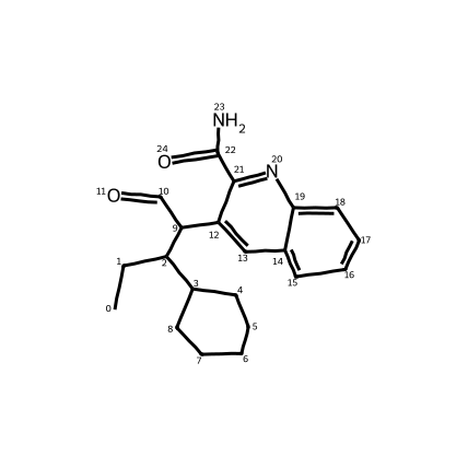 CCC(C1CCCCC1)C(C=O)c1cc2ccccc2nc1C(N)=O